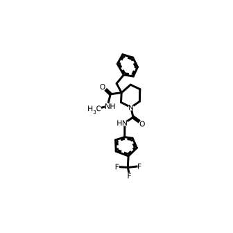 CNC(=O)C1(Cc2ccccc2)CCCN(C(=O)Nc2ccc(C(F)(F)F)cc2)C1